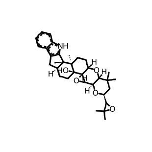 CC1(C)OC1[C@@H]1CC(C)(C)[C@H]2O[C@H]3CC[C@@]4(C)[C@@](O)(CC[C@H]5Cc6c([nH]c7ccccc67)[C@@]54C)[C@]34O[C@@H]4[C@@H]2O1